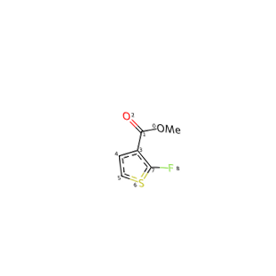 COC(=O)c1ccsc1F